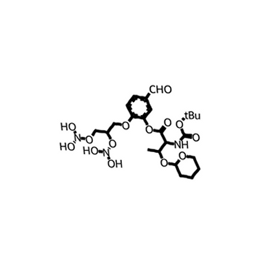 CC(OC1CCCCO1)C(NC(=O)OC(C)(C)C)C(=O)Oc1cc(C=O)ccc1OCC(CON(O)O)ON(O)O